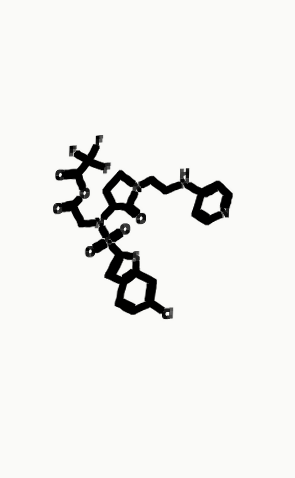 O=C(CN(C1CCN(CCNc2ccncc2)C1=O)S(=O)(=O)c1cc2ccc(Cl)cc2s1)OC(=O)C(F)(F)F